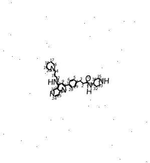 O=C(CCc1ccc(-c2cc(NCCCN3CCCCC3)c3cnccc3n2)cc1)NC1CCNCC1